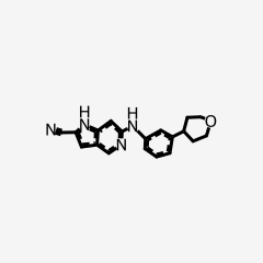 N#Cc1cc2cnc(Nc3cccc(C4CCOCC4)c3)cc2[nH]1